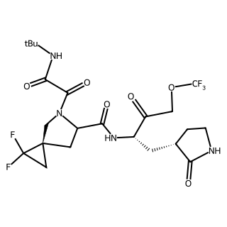 CC(C)(C)NC(=O)C(=O)N1C[C@@]2(CC1C(=O)N[C@@H](C[C@@H]1CCNC1=O)C(=O)COC(F)(F)F)CC2(F)F